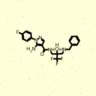 Nc1c(C(=O)NCC(O)(CNCc2ccccc2)C(F)(F)F)cnn1-c1ccc(F)cc1